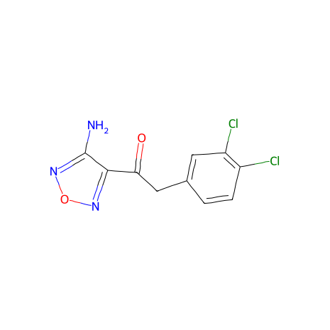 Nc1nonc1C(=O)Cc1ccc(Cl)c(Cl)c1